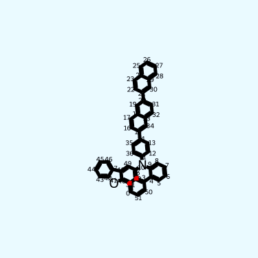 c1ccc(-c2ccccc2N(c2ccc(-c3ccc4cc(-c5ccc6ccccc6c5)ccc4c3)cc2)c2ccc3oc4ccccc4c3c2)cc1